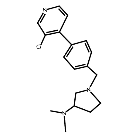 CN(C)C1CCN(Cc2ccc(-c3ccncc3Cl)cc2)C1